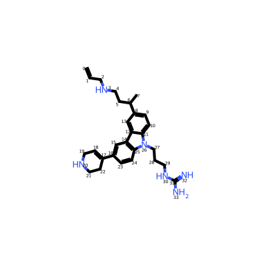 C=CCNCCC(C)c1ccc2c(c1)c1cc(C3=CCNCC3)ccc1n2CCCNC(=N)N